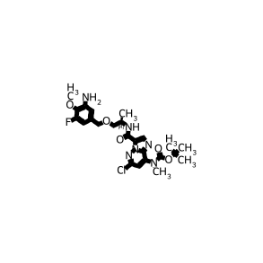 COc1c(N)cc(COC[C@@H](C)NC(=O)c2cnc3c(N(C)C(=O)OC(C)(C)C)cc(Cl)nn23)cc1F